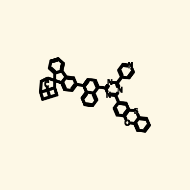 c1ccc2c(c1)Oc1ccc(-c3nc(-c4ccncc4)nc(-c4ccc(-c5ccc6c(c5)-c5ccccc5C65C6CC7CC8CC5C78C6)c5ccccc45)n3)cc1S2